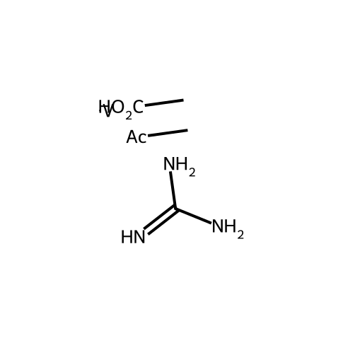 CC(=O)O.CC(C)=O.N=C(N)N.[V]